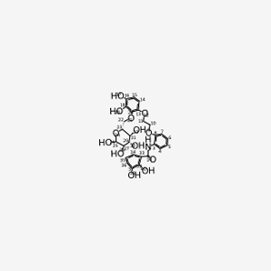 O=C(Nc1ccccc1OCCOc1ccc(O)c(O)c1OC[C@H]1OC(O)[C@H](O)[C@@H](O)[C@@H]1O)c1cccc(O)c1O